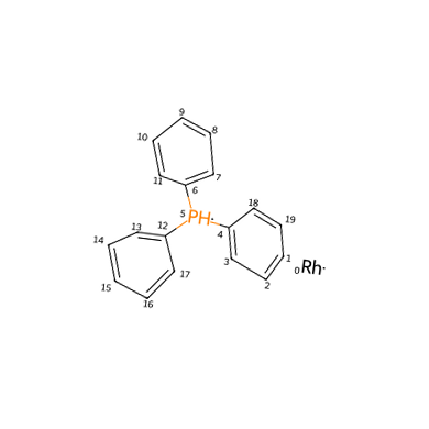 [Rh].c1ccc([PH](c2ccccc2)c2ccccc2)cc1